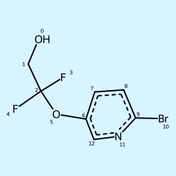 OCC(F)(F)Oc1ccc(Br)nc1